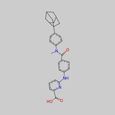 CN(C(=O)c1ccc(Nc2cccc(C(=O)O)n2)cc1)c1ccc(C23CC4CC(CC2C4)C3)cc1